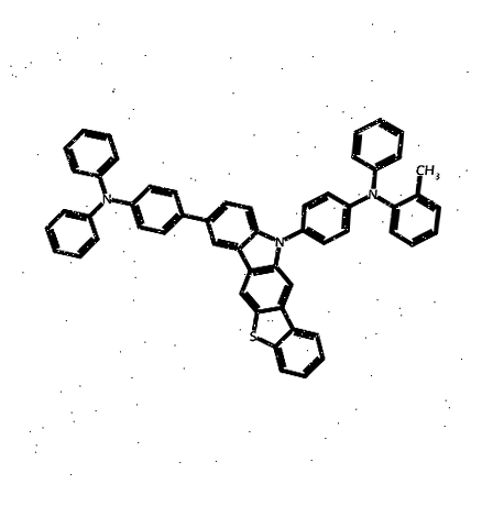 Cc1ccccc1N(c1ccccc1)c1ccc(-n2c3ccc(-c4ccc(N(c5ccccc5)c5ccccc5)cc4)cc3c3cc4sc5ccccc5c4cc32)cc1